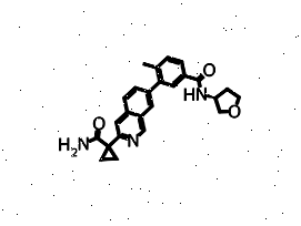 Cc1ccc(C(=O)N[C@H]2CCOC2)cc1-c1ccc2cc(C3(C(N)=O)CC3)ncc2c1